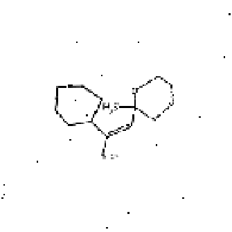 CCCCCCC(=CC1([SiH3])CCCCO1)C1CCCCC1